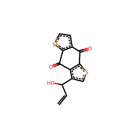 C=CC(O)c1csc2c1C(=O)c1sccc1C2=O